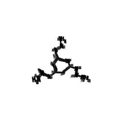 N/N=N/c1cc(/N=N/N)nc(/N=N/N)c1